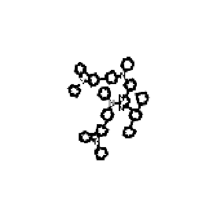 c1ccc(-c2ccc(-c3ccccc3)c(-c3cc(-c4cccc(N(c5ccccc5)c5ccc(-c6ccc7c(c6)c6ccccc6n7-c6ccccc6)cc5)c4)nc(N(c4ccccc4)c4ccc(-c5ccc6c(c5)c5ccccc5n6-c5ccccc5)cc4)n3)c2)cc1